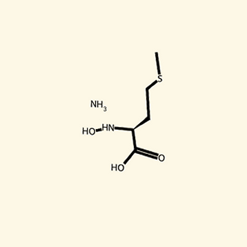 CSCC[C@H](NO)C(=O)O.N